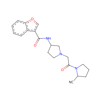 N#CC1CCCN1C(=O)CN1CCC(NC(=O)c2coc3ccccc23)C1